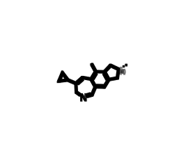 Cc1c2c(cc3c1C[C@H](C)C3)C=NCC(C1CC1)=C2